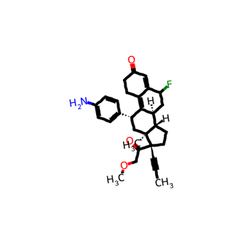 CC#C[C@]1(C(=O)COC)CC[C@H]2[C@@H]3CC(F)C4=CC(=O)CCC4=C3[C@@H](c3ccc(N)cc3)C[C@@]21C